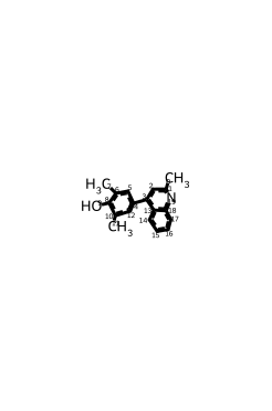 Cc1cc(-c2cc(C)c(O)c(C)c2)c2ccccc2n1